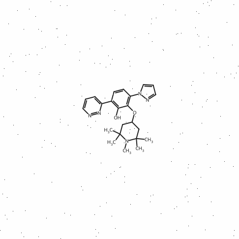 CN1C(C)(C)CC(Oc2c(-n3cccn3)ccc(-c3cccnn3)c2O)CC1(C)C